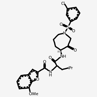 COc1cccc2cc(C(=O)NC(CC(C)C)C(=O)N[C@H]3CCCN(S(=O)(=O)c4cccc(Cl)c4)CC3=O)oc12